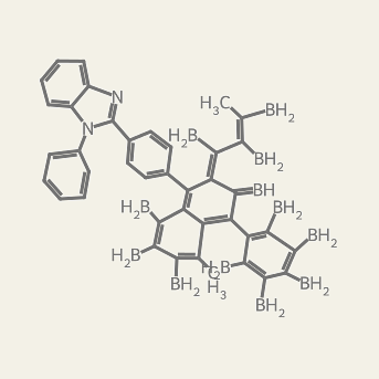 B=c1c(-c2c(B)c(B)c(B)c(B)c2B)c2c(C)c(B)c(B)c(B)c2c(-c2ccc(-c3nc4ccccc4n3-c3ccccc3)cc2)/c1=C(B)/C(B)=C(/B)C